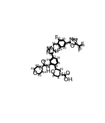 O=C(O)N1CCOC(c2ccc(-c3nnn(Cc4c(F)cc(-c5nnc(C(F)F)o5)cc4F)n3)cc2NC(=O)N2CCOCC2)C1